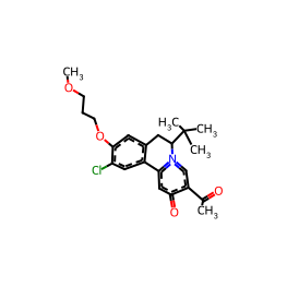 COCCCOc1cc2c(cc1Cl)-c1cc(=O)c(C(C)=O)cn1C(C(C)(C)C)C2